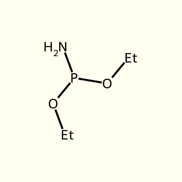 CCOP(N)OCC